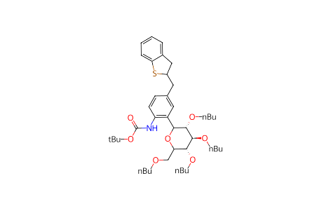 CCCCOCC1OC(c2cc(CC3Cc4ccccc4S3)ccc2NC(=O)OC(C)(C)C)[C@H](OCCCC)[C@@H](OCCCC)[C@@H]1OCCCC